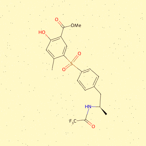 COC(=O)c1cc(S(=O)(=O)c2ccc(C[C@@H](C)NC(=O)C(F)(F)F)cc2)c(C)cc1O